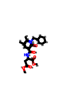 COC(=O)CC(NC(=O)c1cc(C)c(C)n(CC2CCCCC2)c1=O)C(=O)OC